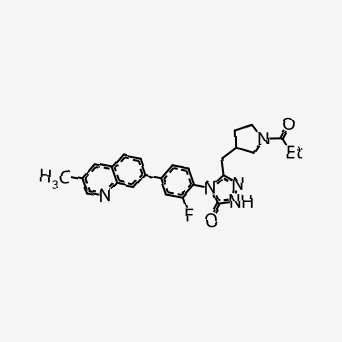 CCC(=O)N1CCC(Cc2n[nH]c(=O)n2-c2ccc(-c3ccc4cc(C)cnc4c3)cc2F)C1